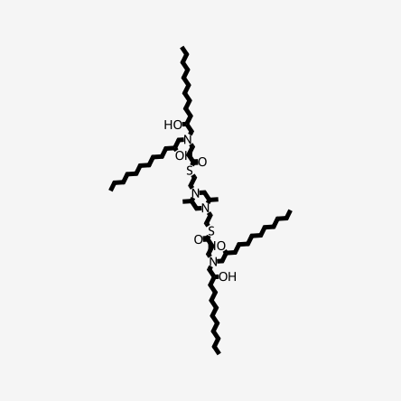 CCCCCCCCCCC(O)CN(CCC(=O)SCCN1CC(C)N(CCSC(=O)CCN(CC(O)CCCCCCCCCC)CC(O)CCCCCCCCCC)CC1C)CC(O)CCCCCCCCCC